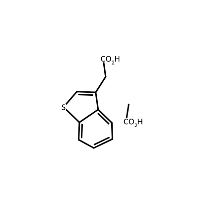 CC(=O)O.O=C(O)Cc1csc2ccccc12